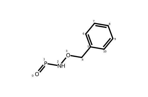 O=PNOCc1ccccc1